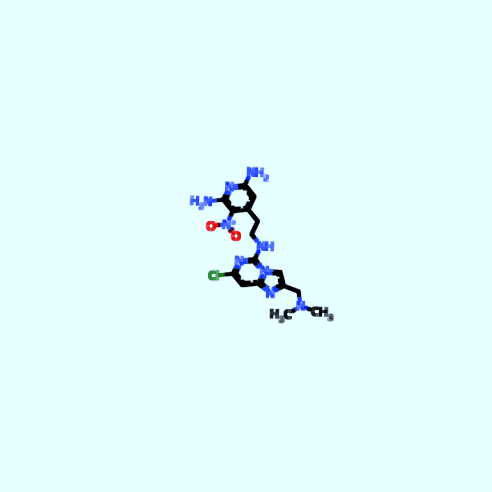 CN(C)Cc1cn2c(NCCc3cc(N)nc(N)c3[N+](=O)[O-])nc(Cl)cc2n1